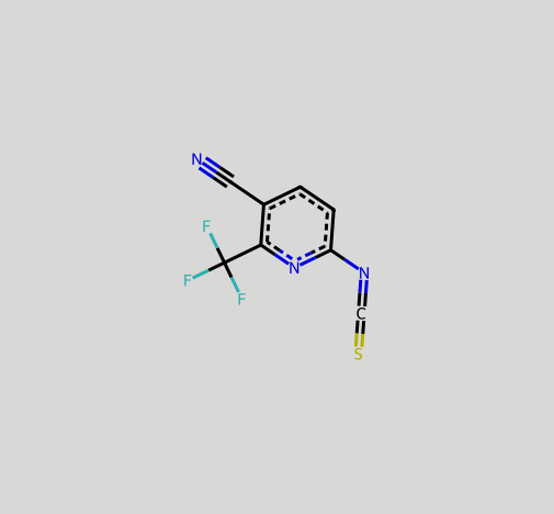 N#Cc1ccc(N=C=S)nc1C(F)(F)F